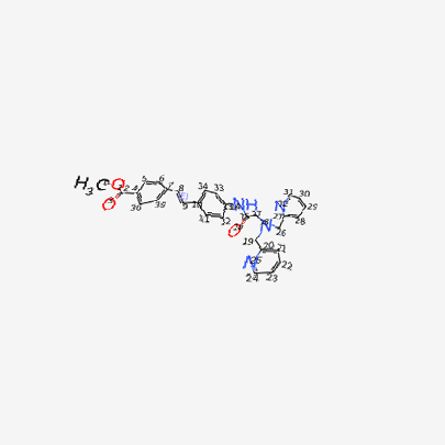 COC(=O)c1ccc(/C=C/c2ccc(NC(=O)CN(Cc3ccccn3)Cc3ccccn3)cc2)cc1